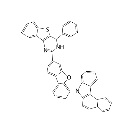 C1=CC2C=Cc3c(c4ccccc4n3-c3cccc4c3oc3cc(C5=Nc6c(sc7ccccc67)C(c6ccccc6)N5)ccc34)C2C=C1